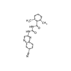 Cc1cccc(C)c1C(=O)NC(=O)Nc1cnc2cc(C#N)ccc2n1